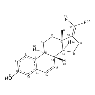 C[C@]12CC[C@@H]3c4ccc(O)cc4C=C[C@H]3[C@@H]1CCC2=C(F)F